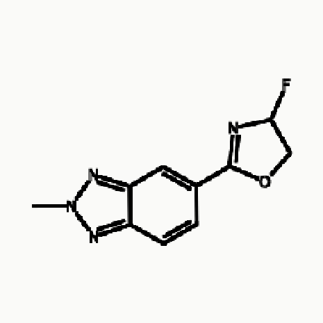 Cn1nc2ccc(C3=NC(F)CO3)cc2n1